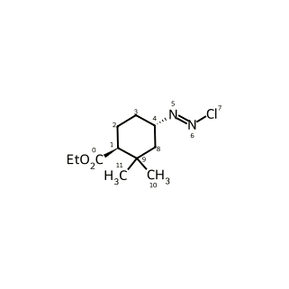 CCOC(=O)[C@H]1CC[C@H](/N=N/Cl)CC1(C)C